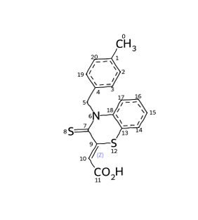 Cc1ccc(CN2C(=S)/C(=C/C(=O)O)Sc3ccccc32)cc1